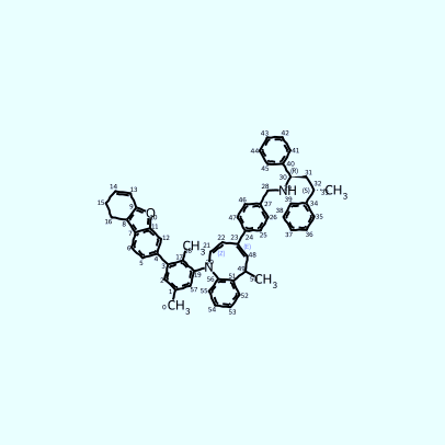 Cc1cc(-c2ccc3c4c(oc3c2)C=CCC4)c(C)c(N2/C=C\C(c3ccc(CN[C@H](C[C@H](C)c4ccccc4)c4ccccc4)cc3)=C/C(C)c3ccccc32)c1